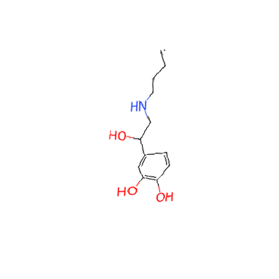 [CH2]CCCNCC(O)c1ccc(O)c(O)c1